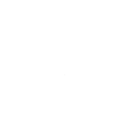 CC=CCC.CCCC(C)O